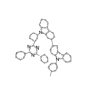 Cc1ccc(-n2c3ccccc3c3cc(-c4ccc5c6ccccc6n(-c6cccc(-c7nc(-c8ccccc8)nc(-c8ccccc8)n7)c6)c5c4)ccc32)cc1